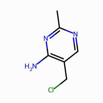 Cc1ncc(CCl)c(N)n1